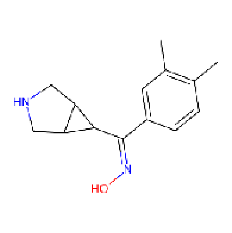 Cc1ccc(C(=NO)C2C3CNCC32)cc1C